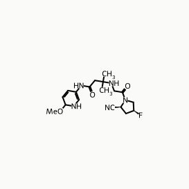 COC1C=CC(NC(=O)CC(C)(C)NCC(=O)N2C[C@@H](F)C[C@H]2C#N)=CN1